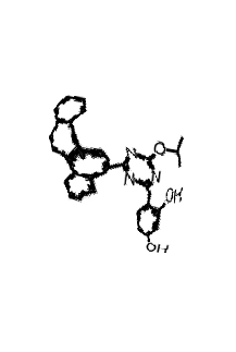 CC(C)Oc1nc(-c2ccc(O)cc2O)nc(-c2cc3c4ccccc4ccc3c3ccccc23)n1